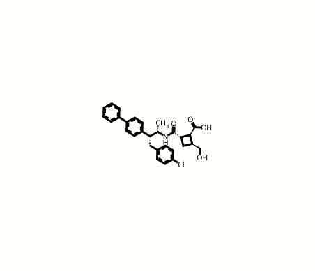 C[C@H](NC(=O)[C@H]1C[C@H](CO)[C@@H]1C(=O)O)[C@H](Cc1ccc(Cl)cc1)c1ccc(-c2ccccc2)cc1